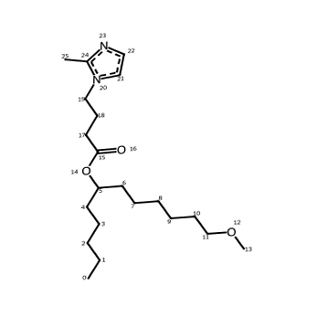 CCCCCC(CCCCCCOC)OC(=O)CCCn1ccnc1C